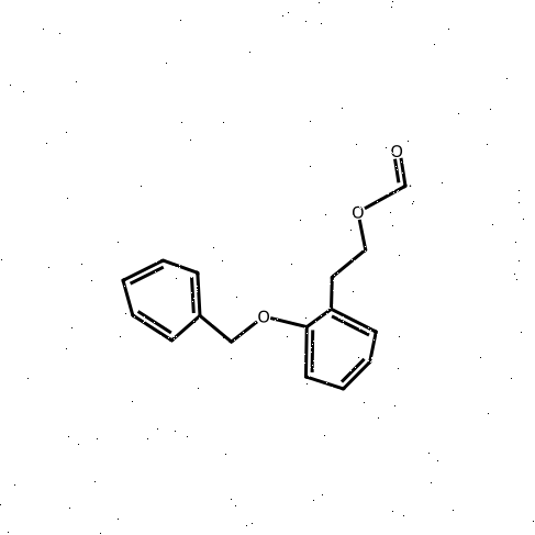 O=[C]OCCc1ccccc1OCc1ccccc1